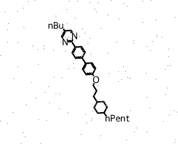 CCCCCC1CCC(CCCOc2ccc(-c3ccc(-c4ncc(CCCC)cn4)cc3)cc2)CC1